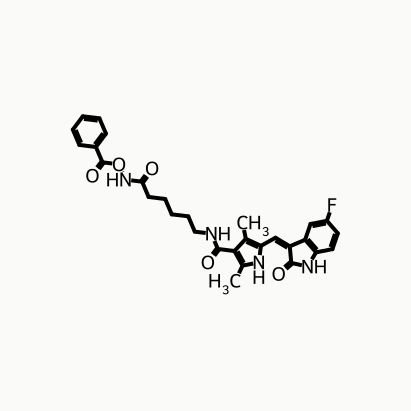 Cc1[nH]c(C=C2C(=O)Nc3ccc(F)cc32)c(C)c1C(=O)NCCCCCC(=O)NOC(=O)c1ccccc1